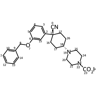 N#C[C@]1(c2cccc(OCc3ccccc3)c2)CC[C@@H](N2CCN(C(=O)O)CC2)CC1